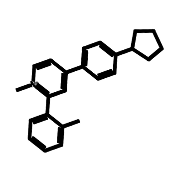 Cc1ccccc1-c1cc(-c2ccc(C3CCCC3)cc2)cc[n+]1C